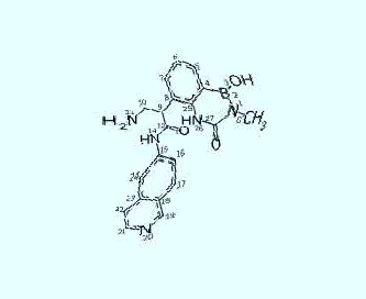 CN1B(O)c2cccc(C(CN)C(=O)Nc3ccc4cnccc4c3)c2NC1=O